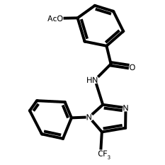 CC(=O)Oc1cccc(C(=O)Nc2ncc(C(F)(F)F)n2-c2ccccc2)c1